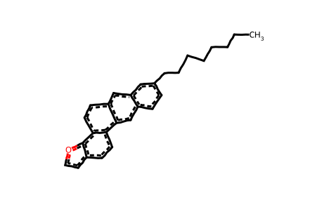 CCCCCCCCc1ccc2cc3c(ccc4c3ccc3ccoc34)cc2c1